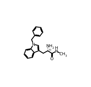 CNC(=O)[C@@H](N)Cc1cn(Cc2ccccc2)c2ccccc12